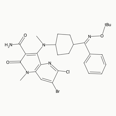 CN(c1c(C(N)=O)c(=O)n(C)c2cc(Br)c(Cl)nc12)C1CCC(C(=NOC(C)(C)C)c2ccccc2)CC1